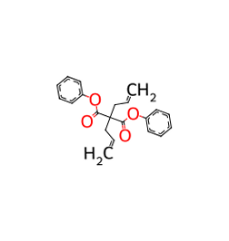 C=CCC(CC=C)(C(=O)Oc1ccccc1)C(=O)Oc1ccccc1